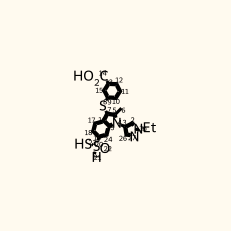 CCn1cc(-n2c(C)c(Sc3cccc(C(=O)O)c3)c3ccc([SH](C)(=O)S)cc32)cn1